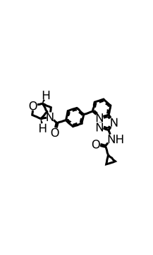 O=C(Nc1nc2cccc(-c3ccc(C(=O)N4C[C@@H]5C[C@H]4CO5)cc3)n2n1)C1CC1